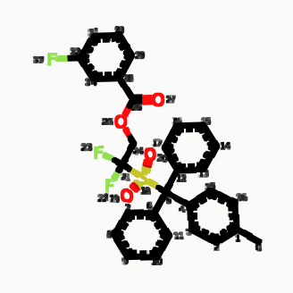 Cc1ccc(C(c2ccccc2)(c2ccccc2)S(=O)(=O)C(F)(F)COC(=O)c2cccc(F)c2)cc1